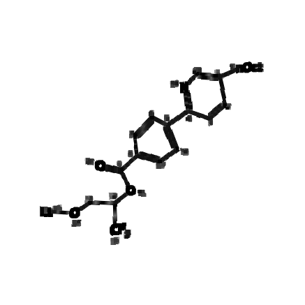 CCCCCCCCc1ccc(-c2ccc(C(=O)OC(COCC)C(F)(F)F)cc2)nc1